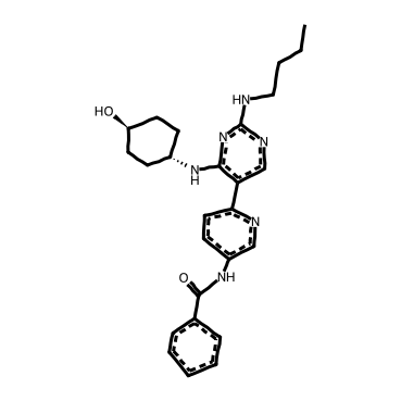 CCCCNc1ncc(-c2ccc(NC(=O)c3ccccc3)cn2)c(N[C@H]2CC[C@H](O)CC2)n1